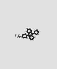 FC(F)(F)Oc1ccc(-c2c3ccccc3c(-c3ccccc3)c3ccccc23)cc1